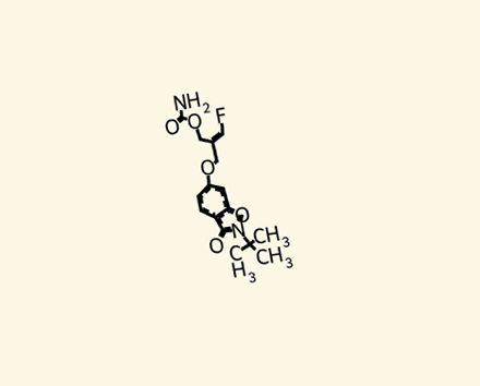 CC(C)(C)n1oc2cc(OC/C(=C/F)COC(N)=O)ccc2c1=O